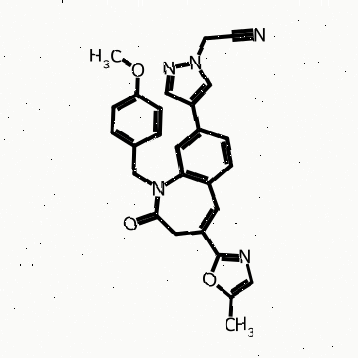 COc1ccc(CN2C(=O)CC(c3ncc(C)o3)=Cc3ccc(-c4cnn(CC#N)c4)cc32)cc1